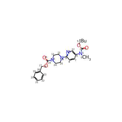 CN(C(=O)OC(C)(C)C)c1ccc(N2CCN(C(=O)OCc3ccccc3)CC2)nc1